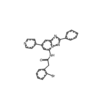 O=C(Cc1ccccc1Br)Nc1cc(-c2ccncc2)cc2nc(-c3ccccc3)nn12